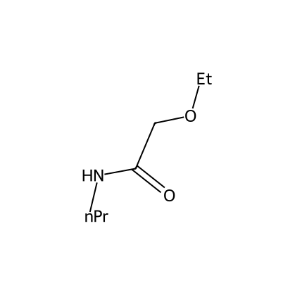 [CH2]COCC(=O)NCCC